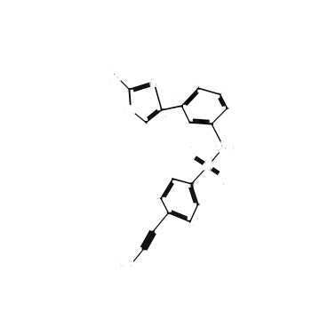 CCCCCCC#Cc1ccc(S(=O)(=O)Nc2cccc(-c3csc(N)n3)c2)cc1